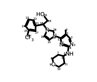 Cc1cnc(NC2CCOCC2)nc1N1C=CN(C(CO)c2cccc(C(F)(F)F)c2)C1